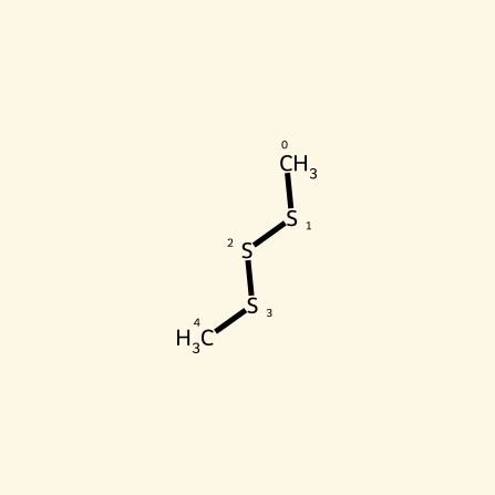 CSSSC